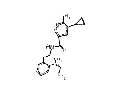 C/C=C(/C)c1ccccc1CCNC(=O)c1cc(C2CC2)c(C)nn1